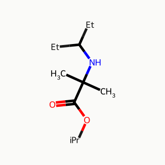 CCC(CC)NC(C)(C)C(=O)OC(C)C